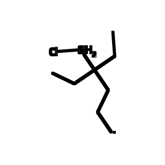 [CH2]CCC(CC)(CC)[SiH2]Cl